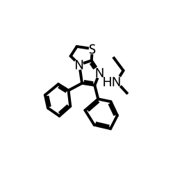 CCNC.c1ccc(-c2nc3n(c2-c2ccccc2)CCS3)cc1